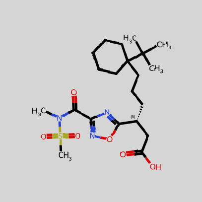 CN(C(=O)c1noc([C@H](CCCC2(C(C)(C)C)CCCCC2)CC(=O)O)n1)S(C)(=O)=O